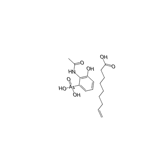 C=CCCCCCCC(=O)O.CC(=O)Nc1c(O)cccc1[As](=O)(O)O